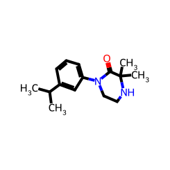 CC(C)c1cccc(N2CCNC(C)(C)C2=O)c1